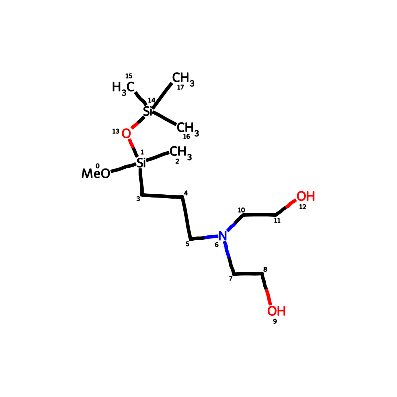 CO[Si](C)(CCCN(CCO)CCO)O[Si](C)(C)C